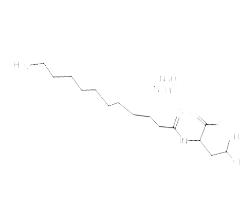 CCCCCCCCCCCC(=O)NC(CC(C)C)C(=O)O.[NaH].[NaH]